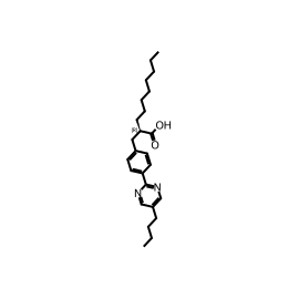 CCCCCCCC[C@H](Cc1ccc(-c2ncc(CCCC)cn2)cc1)C(=O)O